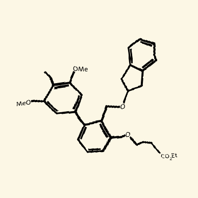 CCOC(=O)CCOc1cccc(-c2cc(OC)c(C)c(OC)c2)c1COC1Cc2ccccc2C1